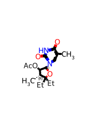 CCC1(CC)O[C@@H](n2cc(C)c(=O)[nH]c2=O)C(OC(C)=O)[C@H]1C